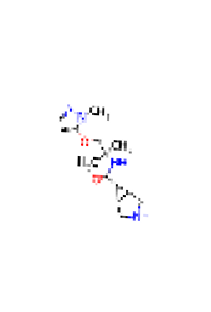 Cn1nccc1OCC(C)(C)NC(=O)C1C2CNCC21